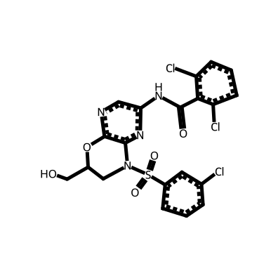 O=C(Nc1cnc2c(n1)N(S(=O)(=O)c1cccc(Cl)c1)CC(CO)O2)c1c(Cl)cccc1Cl